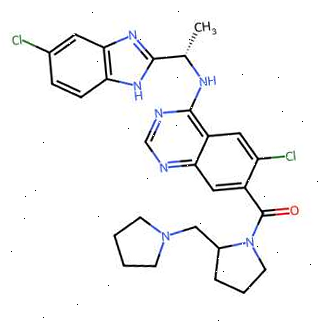 C[C@H](Nc1ncnc2cc(C(=O)N3CCCC3CN3CCCC3)c(Cl)cc12)c1nc2cc(Cl)ccc2[nH]1